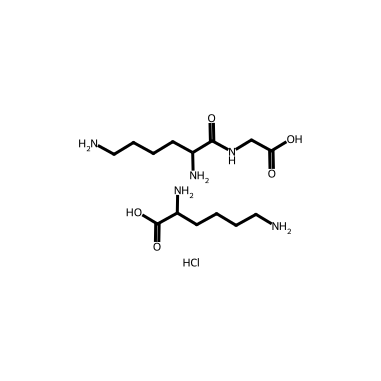 Cl.NCCCCC(N)C(=O)NCC(=O)O.NCCCCC(N)C(=O)O